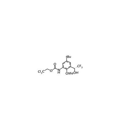 COc1c(NC(=O)OCC(Cl)(Cl)Cl)cc(C(C)(C)C)cc1[C@@H](O)C(F)(F)F